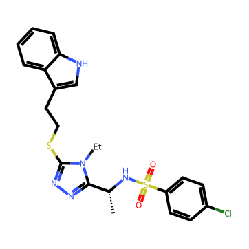 CCn1c(SCCc2c[nH]c3ccccc23)nnc1[C@@H](C)NS(=O)(=O)c1ccc(Cl)cc1